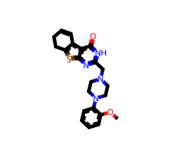 COc1ccccc1N1CCN(Cc2nc3sc4c(c3c(=O)[nH]2)C=CCC4)CC1